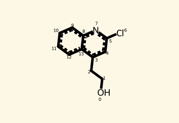 OCCc1cc(Cl)nc2ccccc12